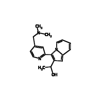 CC(O)c1cc2ccccn2c1-c1cc(CN(C)C)ccn1